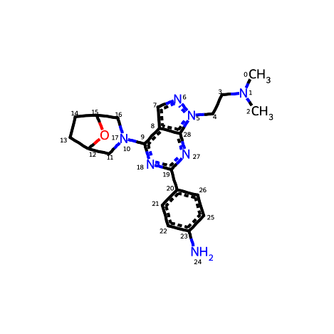 CN(C)CCn1ncc2c(N3CC4CCC(C3)O4)nc(-c3ccc(N)cc3)nc21